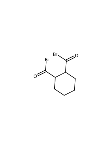 O=C(Br)C1CCCCC1C(=O)Br